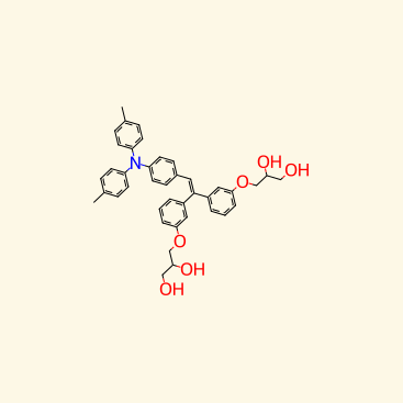 Cc1ccc(N(c2ccc(C)cc2)c2ccc(C=C(c3cccc(OCC(O)CO)c3)c3cccc(OCC(O)CO)c3)cc2)cc1